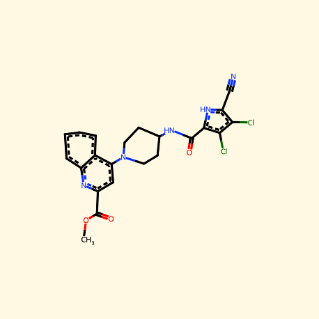 COC(=O)c1cc(N2CCC(NC(=O)c3[nH]c(C#N)c(Cl)c3Cl)CC2)c2ccccc2n1